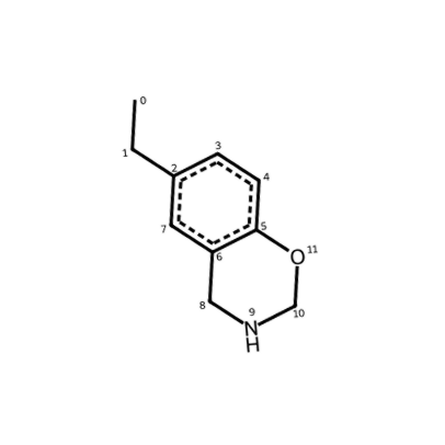 CCc1ccc2c(c1)CNCO2